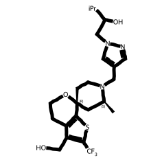 CC(C)C(O)Cn1cc(CN2CC[C@]3(C[C@@H]2C)OCCc2c3sc(C(F)(F)F)c2CO)cn1